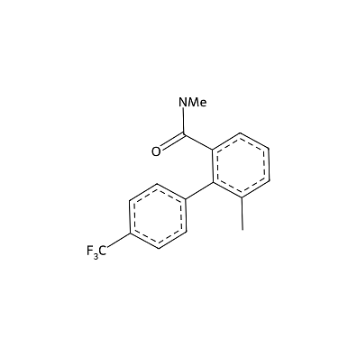 CNC(=O)c1cccc(C)c1-c1ccc(C(F)(F)F)cc1